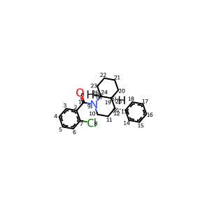 O=C(c1ccccc1Cl)N1CC[C@@H](c2ccccc2)[C@@H]2CCCC[C@H]21